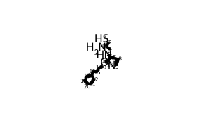 NC(CS)CNc1cccnc1OCCCCc1ccccc1